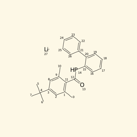 Cc1cc(C(C)(C)C)cc(C)c1C(=O)Pc1ccccc1-c1ccccc1.[Li]